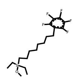 CC[Si](CC)(CCCCCCCCc1c(F)c(F)c(F)c(F)c1F)OC